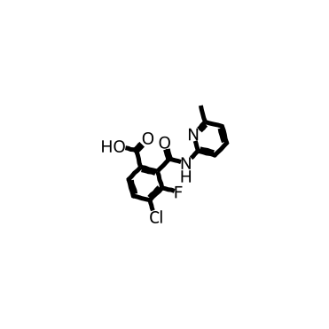 Cc1cccc(NC(=O)c2c(C(=O)O)ccc(Cl)c2F)n1